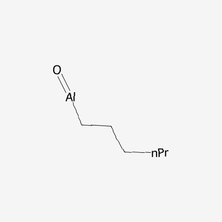 CCCCC[CH2][Al]=[O]